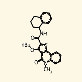 CCCCOc1c(C(=O)NC2CCCc3ccccc32)sc2c1c(=O)n(C)c1ccccc21